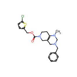 CN1CN(Cc2ccccc2)CC2=C1CCN(C(=O)OCc1ccc(Cl)s1)C2